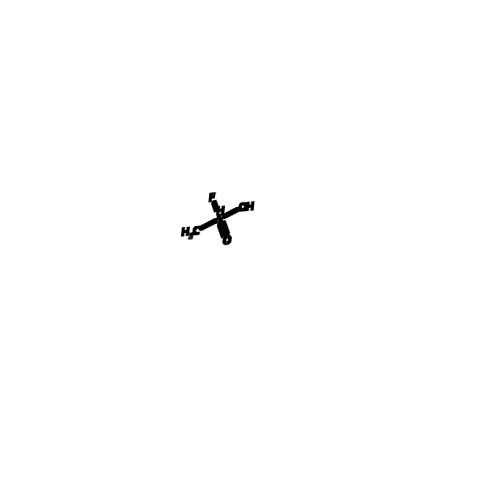 C[SH](=O)(O)F